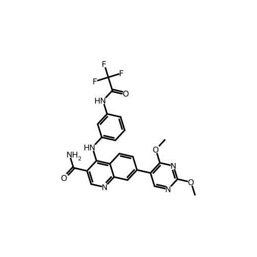 COc1ncc(-c2ccc3c(Nc4cccc(NC(=O)C(F)(F)F)c4)c(C(N)=O)cnc3c2)c(OC)n1